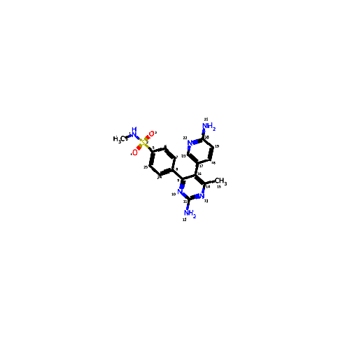 CNS(=O)(=O)c1ccc(-c2nc(N)nc(C)c2-c2ccc(N)nc2)cc1